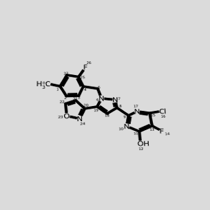 Cc1ccc(Cn2nc(-c3nc(O)c(F)c(Cl)n3)cc2-c2ccon2)c(F)c1